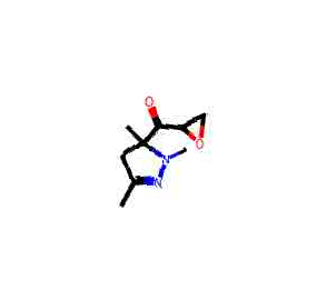 CC1=NN(C)C(C)(C(=O)C2CO2)C1